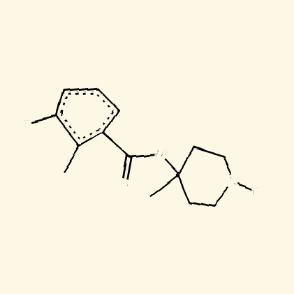 Cc1c(F)cccc1C(=O)NC1(C)CCN(C(C)C)CC1